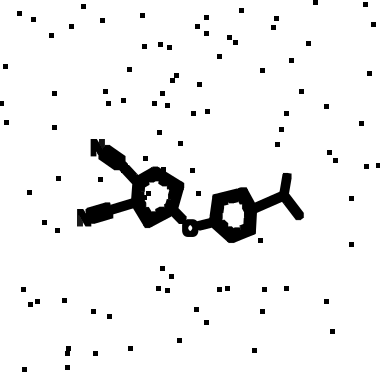 CC(C)c1ccc(Oc2ccc(C#N)c(C#N)c2)cc1